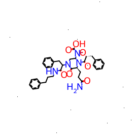 NC(=O)CC[C@H]1C(=O)N(C(Cc2ccccc2)C(=O)NCCCc2ccccc2)CC2N(C(=O)O)O[C@H](Cc3ccccc3)C(=O)N21